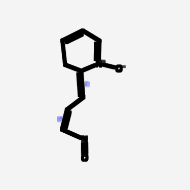 O=N/C=C\C=C1/CC=CC=[N+]1[O-]